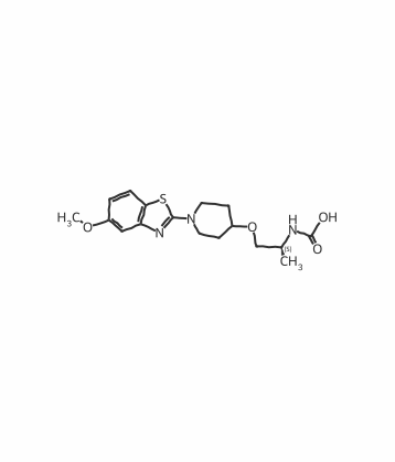 COc1ccc2sc(N3CCC(OC[C@H](C)NC(=O)O)CC3)nc2c1